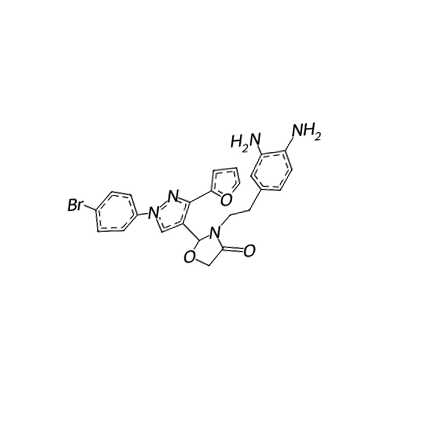 Nc1ccc(CCN2C(=O)COC2c2cn(-c3ccc(Br)cc3)nc2-c2ccco2)cc1N